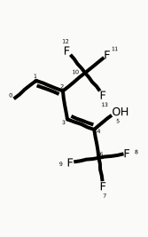 C/C=C(\C=C(/O)C(F)(F)F)C(F)(F)F